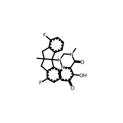 CN1CN(C23c4cccc(F)c4CC2(C)Cc2c(F)cccc23)n2ccc(=O)c(O)c2C1=O